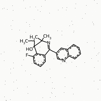 CCC1(O)c2c(F)cccc2C(c2cnc3ccccc3c2)=NC1(C)C